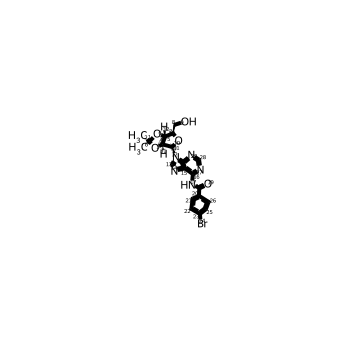 CC1(C)O[C@H]2[C@H](O1)[C@@H](CO)O[C@H]2n1cnc2c(NC(=O)c3ccc(Br)cc3)ncnc21